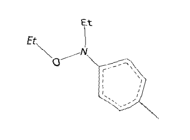 CCON(CC)c1ccc(C)cc1